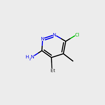 CCc1c(N)nnc(Cl)c1C